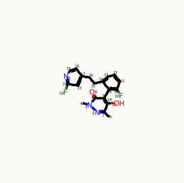 Cc1nn(C)c(=O)c(-c2c(F)cccc2CCc2ccnc(F)c2)c1O